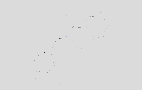 Cc1ccc2ncn(Cc3ccc(Cl)c(Cl)c3)c(=O)c2c1